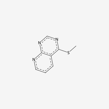 CSc1ncnc2ncccc12